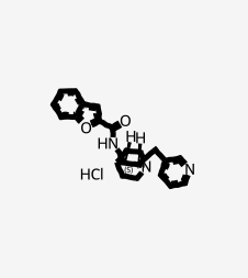 Cl.O=C(N[C@H]1C2CCN(CC2)[C@H]1Cc1cccnc1)c1cc2ccccc2o1